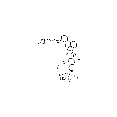 CCOc1cc(O[C@@H]2c3cccc(-c4cccc(OCCCN5CC(F)C5)c4Cl)c3C[C@@H]2F)c(Cl)cc1CNC(C)(CO)C(=O)O